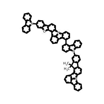 CC1(C)c2cc(-n3c4ccccc4c4c(-c5cccc6c5c5cccc7c8c9oc%10cc(-n%11c%12ccccc%12c%12ccccc%12%11)ccc%10c9ccc8n6c57)cccc43)ccc2-c2ccc3c(c21)c1cccc2c4ccccc4n3c21